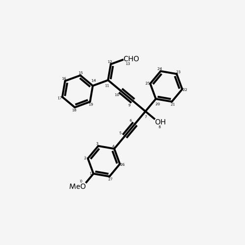 COc1ccc(C#CC(O)(C#C/C(=C\C=O)c2ccccc2)c2ccccc2)cc1